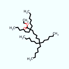 CCCCCCC(CCCCCC)(CCCCCC)CCCCCC(CCCCCC)(CCCCCC)C(=O)OCC